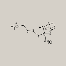 CCCCCC(C=O)(C=O)NN